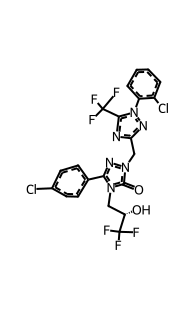 O=c1n(Cc2nc(C(F)(F)F)n(-c3ccccc3Cl)n2)nc(-c2ccc(Cl)cc2)n1C[C@H](O)C(F)(F)F